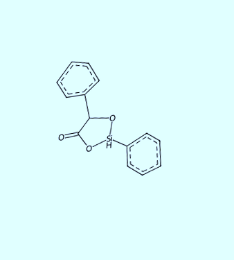 O=C1O[SiH](c2ccccc2)OC1c1ccccc1